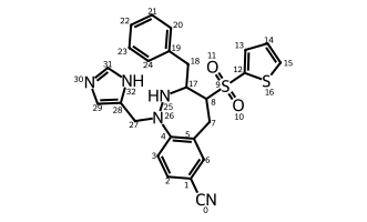 N#Cc1ccc2c(c1)CC(S(=O)(=O)c1cccs1)C(Cc1ccccc1)NN2Cc1cnc[nH]1